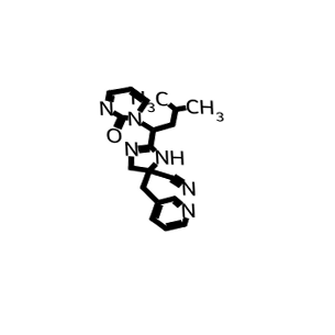 CC(C)CC(C1=NCC(C#N)(Cc2cccnc2)N1)n1cccnc1=O